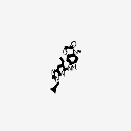 C=Cc1cc2ncn(CC3CC3)c2nc1Nc1ccc2c(c1)OCC(=O)N2C